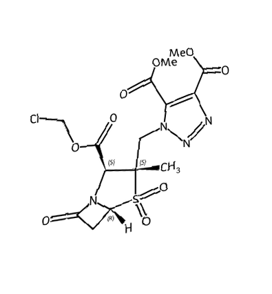 COC(=O)c1nnn(C[C@@]2(C)[C@H](C(=O)OCCl)N3C(=O)C[C@H]3S2(=O)=O)c1C(=O)OC